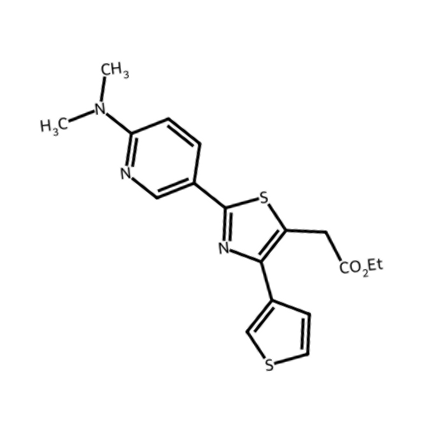 CCOC(=O)Cc1sc(-c2ccc(N(C)C)nc2)nc1-c1ccsc1